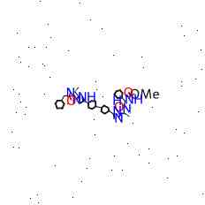 COC(=O)N[C@@H](C(=O)N(C)[C@@H](C)c1ncc(-c2ccc(-c3ccc(-c4cnc([C@H](C)N(C)C(=O)Cc5ccccc5)[nH]4)cc3)cc2)[nH]1)c1ccccc1